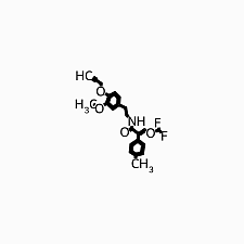 C#CCOc1ccc(CCNC(=O)C(=COC(F)F)c2ccc(C)cc2)cc1OC